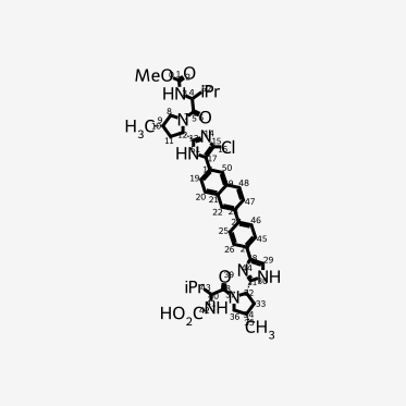 COC(=O)NC(C(=O)N1C[C@@H](C)C[C@H]1c1nc(Cl)c(-c2ccc3cc(-c4ccc(-c5c[nH]c([C@@H]6C[C@H](C)CN6C(=O)C(NC(=O)O)C(C)C)n5)cc4)ccc3c2)[nH]1)C(C)C